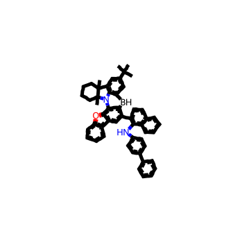 CC(C)(C)c1cc2c3c(c1)C1(C)CCCCC1(C)N3c1c(c(-c3ccc4ccccc4c3Nc3ccc(-c4ccccc4)cc3)cc3c1oc1ccccc13)B2